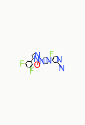 N#Cc1cc(N2CCN(C(=O)N3N=CCC3c3cc(F)cc(F)c3)CC2)c(F)cn1